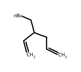 C=C[CH]C(C=C)CCCCC